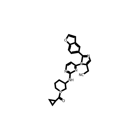 N#CCc1cnc(-c2ccc3occc3c2)n1-c1ccnc(NC2CCCN(C(=O)C3CC3)C2)n1